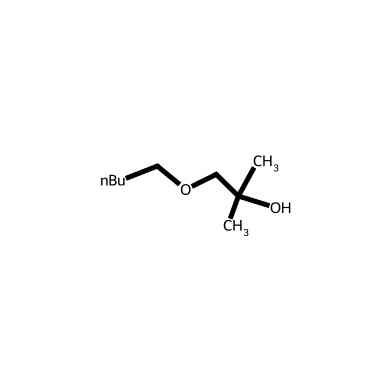 CCCCCOCC(C)(C)O